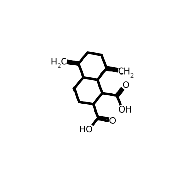 C=C1CCC(=C)C2C1CCC(C(=O)O)C2C(=O)O